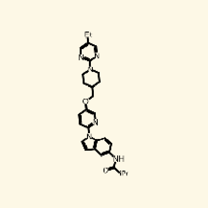 CCc1cnc(N2CCC(COc3ccc(-n4ccc5cc(NC(=O)C(C)C)ccc54)nc3)CC2)nc1